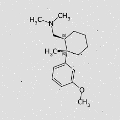 COc1cccc([C@@]2(C)CCCC[C@@H]2CN(C)C)c1